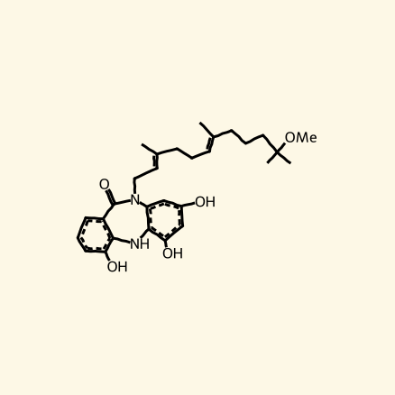 COC(C)(C)CCC/C(C)=C/CC/C(C)=C/CN1C(=O)c2cccc(O)c2Nc2c(O)cc(O)cc21